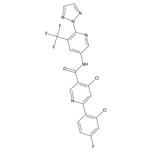 O=C(Nc1cnc(-n2nccn2)c(C(F)(F)F)c1)c1cnc(-c2ccc(F)cc2Cl)cc1Cl